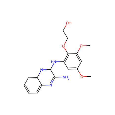 COc1cc(Nc2nc3ccccc3nc2N)c(OCCO)c(OC)c1